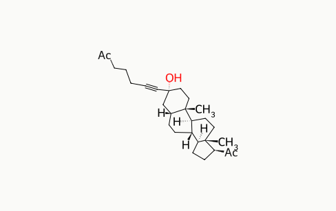 CC(=O)CCCC#C[C@@]1(O)CC[C@@]2(C)[C@H](CC[C@@H]3[C@@H]2CC[C@]2(C)[C@@H](C(C)=O)CC[C@@H]32)C1